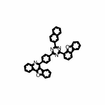 c1ccc2cc(-c3nc(-c4ccc(-c5nc6ccccc6c6oc7ccccc7c56)cc4)nc(-c4cccc5c4oc4ccccc45)n3)ccc2c1